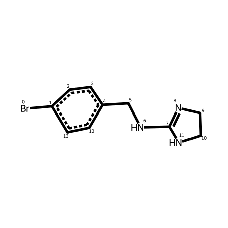 Brc1ccc(CNC2=NCCN2)cc1